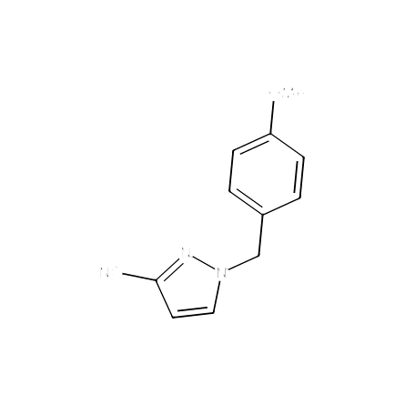 COc1ccc(Cn2ccc(C#N)n2)cc1